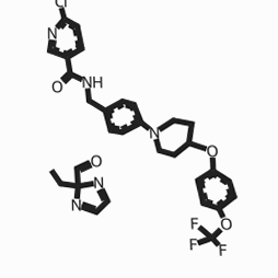 CCC1(C=O)N=CC=N1.O=C(NCc1ccc(N2CCC(Oc3ccc(OC(F)(F)F)cc3)CC2)cc1)c1ccc(Cl)nc1